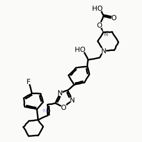 O=C(O)O[C@H]1CCCN(CC(O)c2ccc(-c3noc(/C=C/C4(c5ccc(F)cc5)CCCCC4)n3)cc2)C1